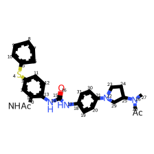 CC(=O)Nc1cc(Sc2ccccc2)ccc1NC(=O)Nc1ccc(N2CCC(N(C)C(C)=O)C2)cc1